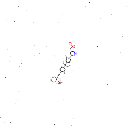 CCC(CC)(c1ccc(C#CC2(O[Si](C)(C)C)CCSCC2)c(C)c1)c1ccc(-c2cncc(CC(=O)OC)c2)c(C)c1